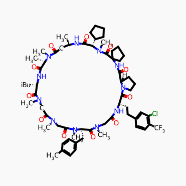 CCC(C)[C@@H]1NC(=O)[C@H](C)N(C)C(=O)C[C@@H](C)NC(=O)[C@H](C2CCCC2)N(C)C(=O)C2(CCCC2)NC(=O)[C@@H]2CCCN2C(=O)[C@H](CCc2ccc(C(F)(F)F)c(Cl)c2)NC(=O)CN(C)C(=O)[C@H](Cc2ccc(C)cc2)N(C)C(=O)CN(C)C(=O)CN(C)C1=O